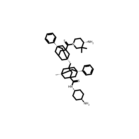 CC1(C)CN(C(=S)C23CC4C[C@](CC56CC7(C(=S)N[C@H]8CC[C@H](N)CC8)C[C@@](C)(C5)C[C@@](c5ccccc5)(C6)C7)(C2)C[C@@](c2ccccc2)(C4)C3)CC[C@@H]1N